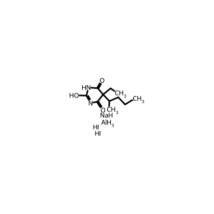 CCCC(C)C1(CC)C(=O)N=C(O)NC1=O.I.I.[AlH3].[NaH]